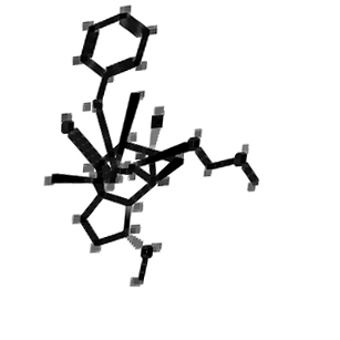 COCO[C@@H]1C[C@@](C)(Sc2ccccc2)C(=O)[C@H](C)C23CC[C@H]4C[C@]41C2[C@H](OC)CC3